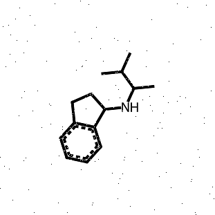 CC(C)C(C)NC1CCc2ccccc21